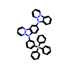 C1=CN2c3ccccc3N(c3ccc4c(c3)N3C=CC=CN3N4c3cccc([Si](c4ccccc4)(c4ccccc4)c4ccccc4)c3)N2C=C1